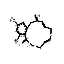 N=C1/C=C/CC/C=C/CCOC(=O)c2c(O)cc(O)cc2C1